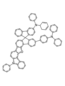 C1=CCC(N(c2ccccc2)c2ccc3c(c2)-c2ccccc2C32c3cc(-c4ccc(N(c5ccccc5)c5ccccc5)cc4)ccc3-c3c2ccc2c3oc3c2ccc2c3c3ccccc3n2-c2ccccc2)C=C1